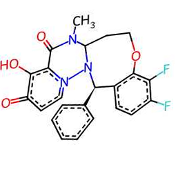 CN1C(=O)c2c(O)c(=O)ccn2N2C1CCOc1c(ccc(F)c1F)[C@H]2c1ccccc1